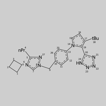 C1CCC1.CCCc1ncn(Cc2ccc(-n3ccc(C(C)(C)C)c3-c3nnn[nH]3)cc2)n1